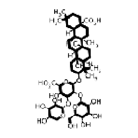 CC1(C)CC[C@]2(C(=O)O)CC[C@]3(C)C(=CC[C@@H]4[C@@]5(C)CC[C@H](O[C@@H]6O[C@H](C(=O)O)[C@@H](O)[C@H](O[C@@H]7OC[C@@H](O)[C@H](O)[C@H]7O)[C@H]6O[C@@H]6O[C@H](CO)[C@@H](O)[C@H](O)[C@H]6O)C(C)(C)[C@@H]5CC[C@]43C)[C@@H]2C1